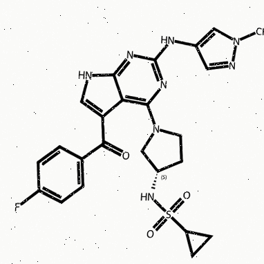 Cn1cc(Nc2nc(N3CC[C@H](NS(=O)(=O)C4CC4)C3)c3c(C(=O)c4ccc(F)cc4)c[nH]c3n2)cn1